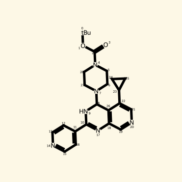 CC(C)(C)OC(=O)N1CCN(C2NC(c3ccncc3)=Nc3cncc(C4CC4)c32)CC1